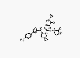 Cc1ccc(-c2csc(C(=O)N3CCC4(CC4)C[C@H]3C(=O)N[C@@H](C[C@@H]3CCNC3=O)C(=O)C(=O)NC3CC3)n2)cc1